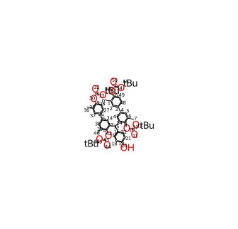 Cc1cc(-c2cc(C)c(OC(=O)OC(C)(C)C)c(C(c3ccc(O)cc3)c3cc(-c4ccc(OC(=O)OC(C)(C)C)c(C)c4)cc(C)c3OC(=O)OC(C)(C)C)c2)ccc1OC(=O)OC(C)(C)C